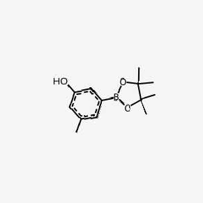 Cc1cc(O)cc(B2OC(C)(C)C(C)(C)O2)c1